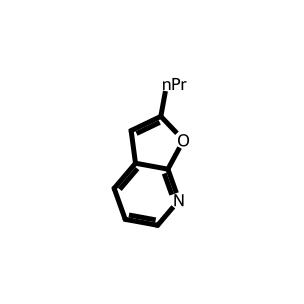 CCCc1cc2cccnc2o1